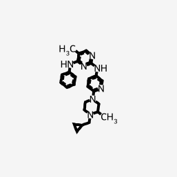 Cc1cnc(Nc2ccc(N3CCN(CC4CC4)C(C)C3)nc2)nc1Nc1ccccc1